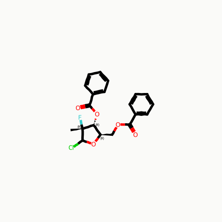 C[C@]1(F)C(Cl)O[C@H](COC(=O)c2ccccc2)[C@H]1OC(=O)c1ccccc1